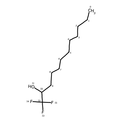 CCCCCCCCCCC(O)C(F)(F)F